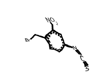 O=[N+]([O-])c1cc(N=C=S)ccc1CBr